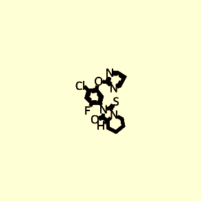 O=C1[C@H]2CCCCN2C(=S)N1c1cc(Oc2ncccn2)c(Cl)cc1F